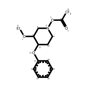 CCOC1CN(OC(=O)C(F)(F)F)CCC1Oc1ccccc1